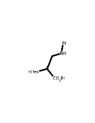 CCCCCCC(CNCC)C(=O)OCC